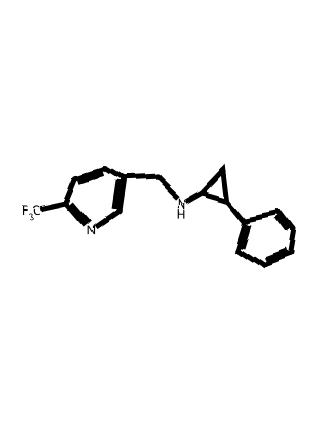 FC(F)(F)c1ccc(CNC2CC2c2ccccc2)cn1